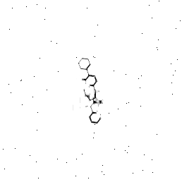 O=C(O)[C@H]1[C@H](CO)[C@H]2Cn3c(ccc(C4=CCCCC4)c3=O)[C@@H]1N2C(=O)Cc1ccccn1